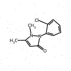 Cc1cc(=O)n(-c2ccccc2Cl)n1C